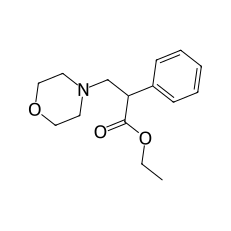 CCOC(=O)C(CN1CCOCC1)c1ccccc1